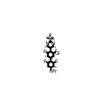 CCCc1cc(F)c(-c2cc(F)c(-c3cnc([N+](C)(C)C)nc3)c(F)c2)c(F)c1.[Cl-]